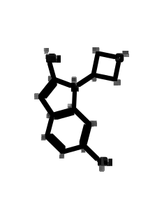 CC(C)(C)c1ccc2cc(C(C)(C)C)n(C3COC3)c2c1